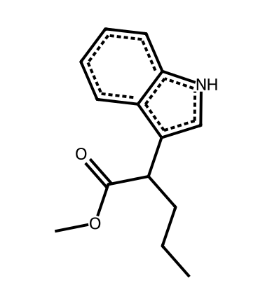 CCCC(C(=O)OC)c1c[nH]c2ccccc12